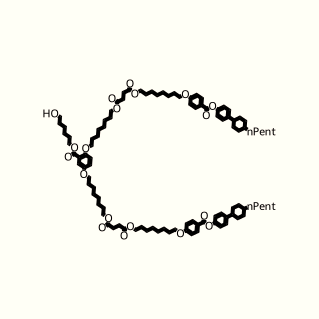 CCCCCC1CCC(c2ccc(OC(=O)c3ccc(OCCCCCCCCOC(=O)CCC(=O)OCCCCCCCCOc4ccc(OCCCCCCCCOC(=O)CCC(=O)OCCCCCCCCOc5ccc(C(=O)Oc6ccc(C7CCC(CCCCC)CC7)cc6)cc5)c(C(=O)OCCCCCCO)c4)cc3)cc2)CC1